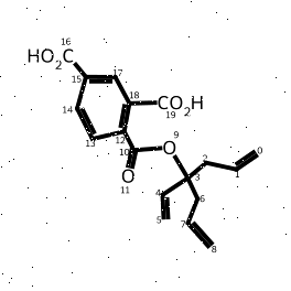 C=CCC(C=C)(CC=C)OC(=O)c1ccc(C(=O)O)cc1C(=O)O